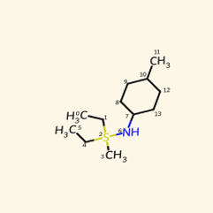 CCS(C)(CC)NC1CCC(C)CC1